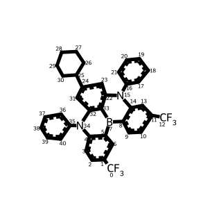 FC(F)(F)c1ccc2c(c1)B1c3ccc(C(F)(F)F)cc3N(c3ccccc3)c3cc(C4CCCCC4)cc(c31)N2c1ccccc1